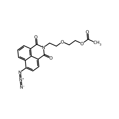 CC(=O)OCCOCCN1C(=O)c2cccc3c(N=[N+]=[N-])ccc(c23)C1=O